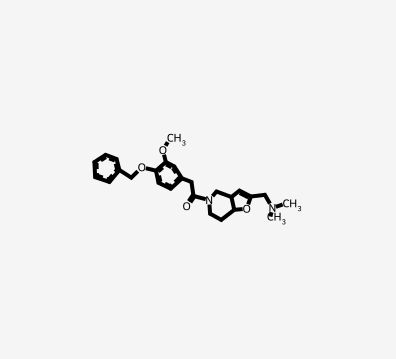 COc1cc(CC(=O)N2CCC3OC(CN(C)C)=CC3C2)ccc1OCc1ccccc1